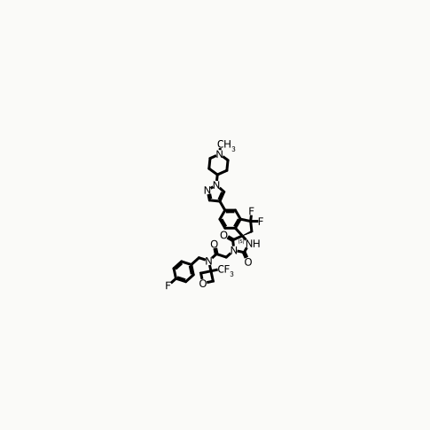 CN1CCC(n2cc(-c3ccc4c(c3)C(F)(F)C[C@]43NC(=O)N(CC(=O)N(Cc4ccc(F)cc4)C4(C(F)(F)F)COC4)C3=O)cn2)CC1